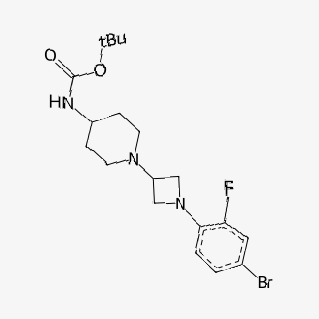 CC(C)(C)OC(=O)NC1CCN(C2CN(c3ccc(Br)cc3F)C2)CC1